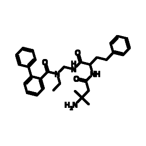 CCN(CNC(=O)C(CCc1ccccc1)NC(=O)CC(C)(C)N)C(=O)c1ccccc1-c1ccccc1